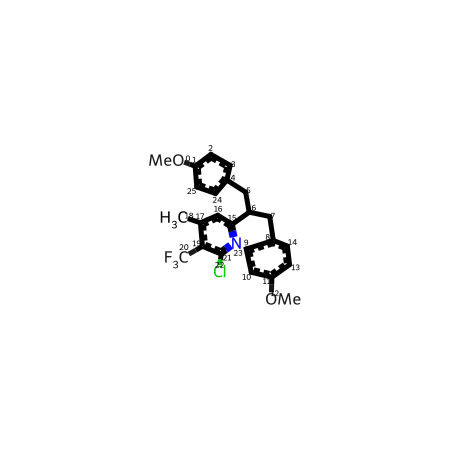 COc1ccc(CC(Cc2ccc(OC)cc2)c2cc(C)c(C(F)(F)F)c(Cl)n2)cc1